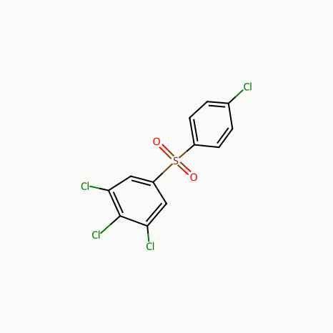 O=S(=O)(c1ccc(Cl)cc1)c1cc(Cl)c(Cl)c(Cl)c1